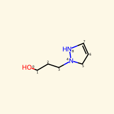 OCCCN1CC=CN1